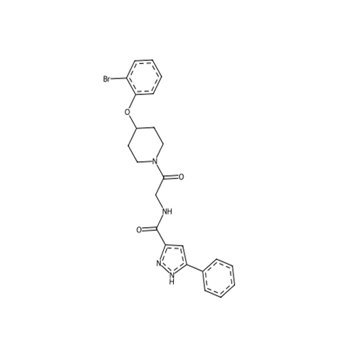 O=C(NCC(=O)N1CCC(Oc2ccccc2Br)CC1)c1cc(-c2ccccc2)[nH]n1